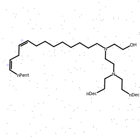 CCCCC/C=C\C/C=C\CCCCCCCCN(CCO)CCN(CCCCCCCCCCCC)CCCCCCCCCCCC